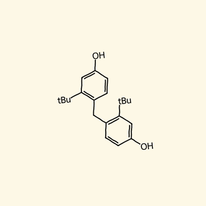 CC(C)(C)c1cc(O)ccc1Cc1ccc(O)cc1C(C)(C)C